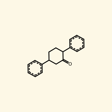 O=C1CC(c2ccccc2)CCC1c1ccccc1